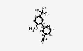 Cc1ccc(C(F)(F)F)cc1-c1cc(C#N)ccn1